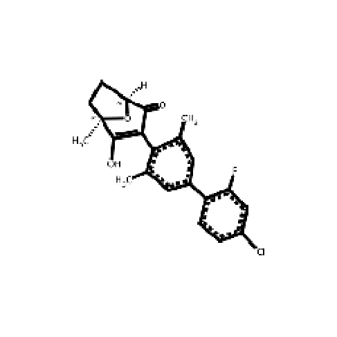 Cc1cc(-c2ccc(Cl)cc2F)cc(C)c1C1=C(O)[C@@]2(C)CC[C@H](O2)C1=O